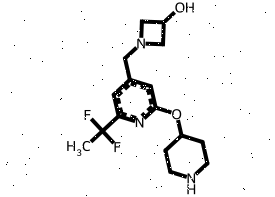 CC(F)(F)c1cc(CN2CC(O)C2)cc(OC2CCNCC2)n1